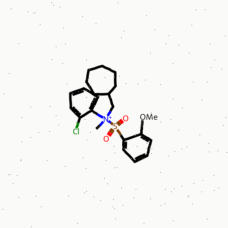 COc1ccccc1S(=O)(=O)[N+](C)(CC1CCCCCC1)c1ccccc1Cl